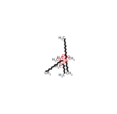 CCCCCCCCCCC(OC)=C(OC)C(OCCCCCCC)OC(OCCCCCCC)C(OC)=C(CCCCCCCCCC)OC